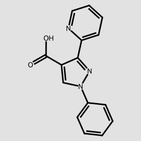 O=C(O)c1cn(-c2ccccc2)nc1-c1ccccn1